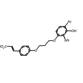 CCCc1c(OCCCOc2ccc(C=CC(=O)O)cc2)ccc(C(C)=O)c1O